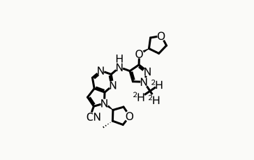 [2H]C([2H])([2H])n1cc(Nc2ncc3cc(C#N)n([C@H]4COC[C@@H]4C)c3n2)c(O[C@@H]2CCOC2)n1